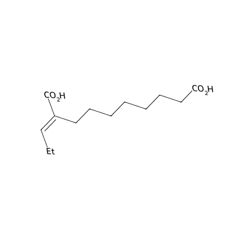 CCC=C(CCCCCCCC(=O)O)C(=O)O